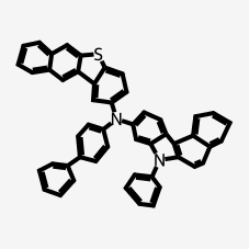 c1ccc(-c2ccc(N(c3ccc4sc5cc6ccccc6cc5c4c3)c3ccc4c5c6ccccc6ccc5n(-c5ccccc5)c4c3)cc2)cc1